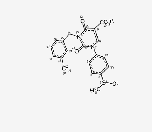 C[S+]([O-])c1ccc(-n2cc(C(=O)O)c(=O)n(Cc3cccc(C(F)(F)F)c3)c2=O)cc1